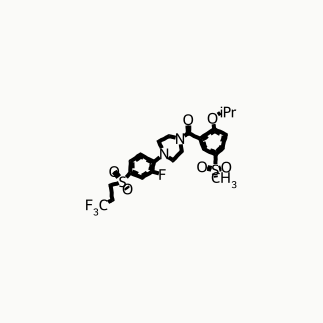 CC(C)Oc1ccc(S(C)(=O)=O)cc1C(=O)N1CCN(c2ccc(S(=O)(=O)CCC(F)(F)F)cc2F)CC1